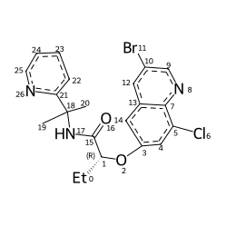 CC[C@@H](Oc1cc(Cl)c2ncc(Br)cc2c1)C(=O)NC(C)(C)c1ccccn1